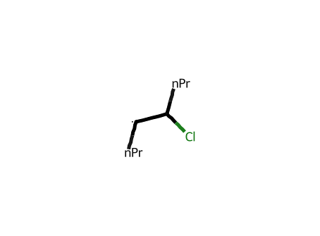 CCC[CH]C(Cl)CCC